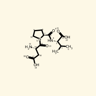 CC(C)[C@H](NC(=O)[C@@H]1CCCN1C(=O)[C@@H](N)CC(=O)O)C(=O)O